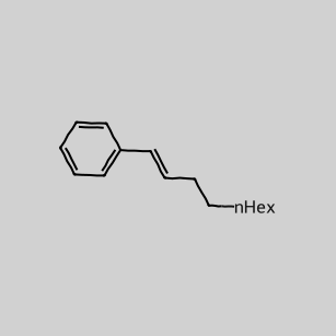 CCCCCCCCC=Cc1ccccc1